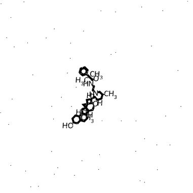 C[C@H]1C[C@H]2O[C@@]34CC[C@H]5[C@@H]6CC=C7C[C@@H](O)CC[C@]7(C)[C@H]6CC56CC63C[C@@H]4[C@@H]2N(CCNC(=O)C(C)(C)c2ccccc2)C1